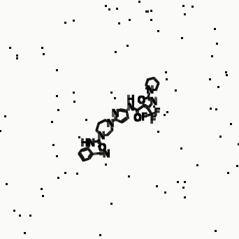 N#Cc1ccccc1NC(=O)N1CCCN(c2ccc(NC(=O)c3oc(N4CCCCC4)nc3C(F)(F)F)cn2)CC1